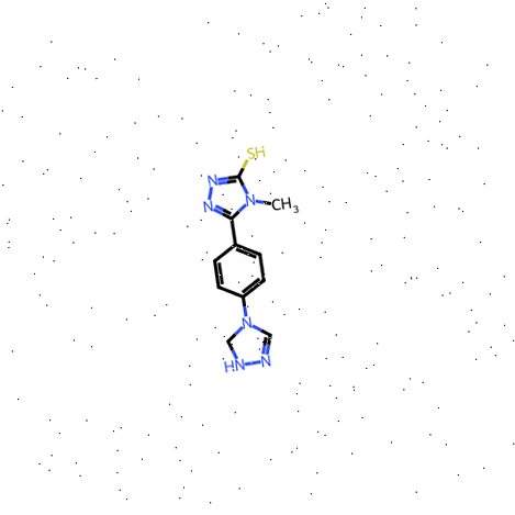 Cn1c(S)nnc1-c1ccc(N2C=NNC2)cc1